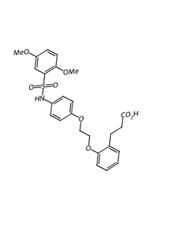 COc1ccc(OC)c(S(=O)(=O)Nc2ccc(OCCOc3ccccc3CCC(=O)O)cc2)c1